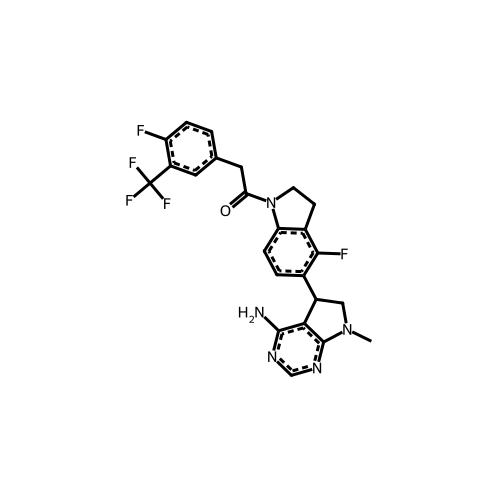 CN1CC(c2ccc3c(c2F)CCN3C(=O)Cc2ccc(F)c(C(F)(F)F)c2)c2c(N)ncnc21